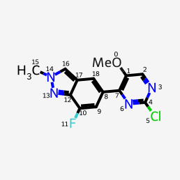 COc1cnc(Cl)nc1-c1cc(F)c2nn(C)cc2c1